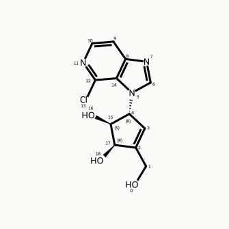 OCC1=C[C@@H](n2cnc3ccnc(Cl)c32)[C@H](O)[C@@H]1O